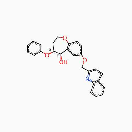 O[C@@H]1c2cc(OCc3ccc4ccccc4n3)ccc2OCC[C@@H]1Oc1ccccc1